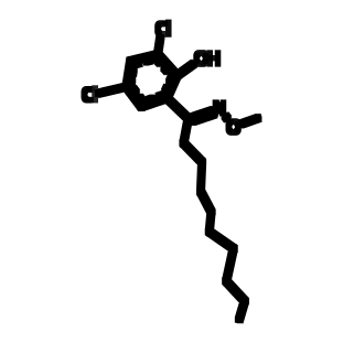 CCCCCCCCCC(=NOC)c1cc(Cl)cc(Cl)c1O